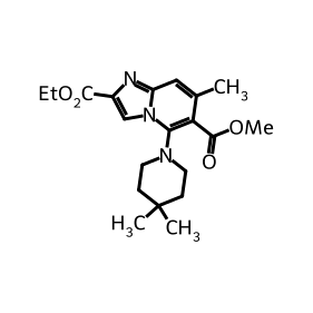 CCOC(=O)c1cn2c(N3CCC(C)(C)CC3)c(C(=O)OC)c(C)cc2n1